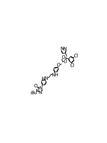 CCC(C)n1ncn(-c2ccc(NCCNc3ccc(OC[C@@H]4CO[C@@](Cc5ccnnc5)(c5cc(Cl)cc(Cl)c5)O4)cc3)cc2)c1=O